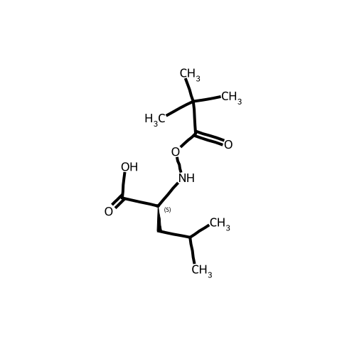 CC(C)C[C@H](NOC(=O)C(C)(C)C)C(=O)O